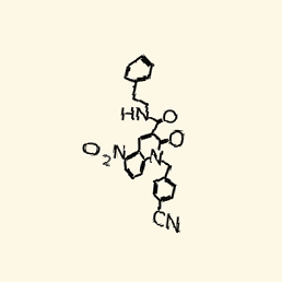 N#Cc1ccc(Cn2c(=O)c(C(=O)NCCc3ccccc3)cc3c([N+](=O)[O-])cccc32)cc1